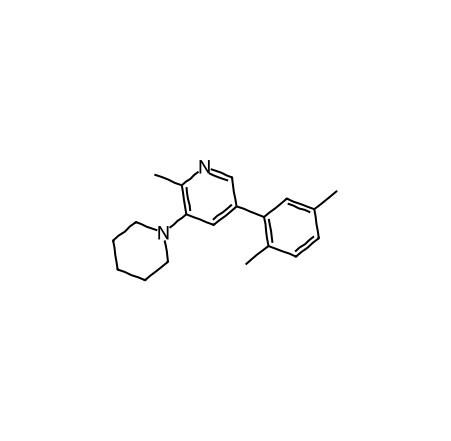 Cc1ccc(C)c(-c2cnc(C)c(N3CCCCC3)c2)c1